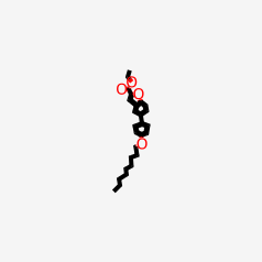 CCCCCCCCCOc1ccc(-c2ccc3oc(C(=O)OCC)cc3c2)cc1